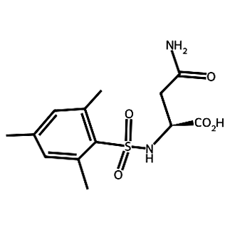 Cc1cc(C)c(S(=O)(=O)N[C@@H](CC(N)=O)C(=O)O)c(C)c1